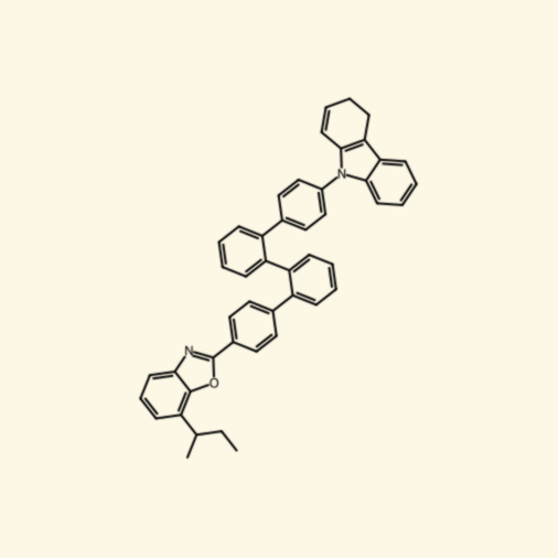 CCC(C)c1cccc2nc(-c3ccc(-c4ccccc4-c4ccccc4-c4ccc(-n5c6c(c7ccccc75)CCC=C6)cc4)cc3)oc12